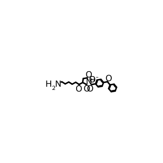 NCCCCCC(=O)C1CC(=O)[N+]([O-])(C(=O)c2ccc(C(=O)c3ccccc3)cc2)C1=O